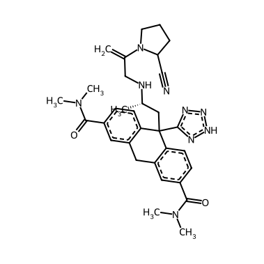 C=C(CN[C@@H](C)CC1(c2nn[nH]n2)c2ccc(C(=O)N(C)C)cc2Cc2cc(C(=O)N(C)C)ccc21)N1CCCC1C#N